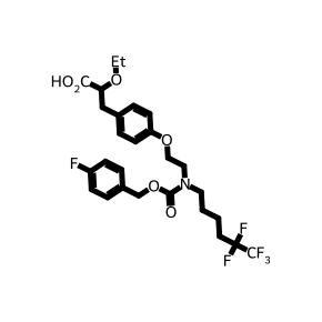 CCOC(Cc1ccc(OCCN(CCCCC(F)(F)C(F)(F)F)C(=O)OCc2ccc(F)cc2)cc1)C(=O)O